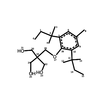 CCC(C)(C)c1cc(C)cc(C(C)(C)CC)c1OCC(CO)(CO)CO